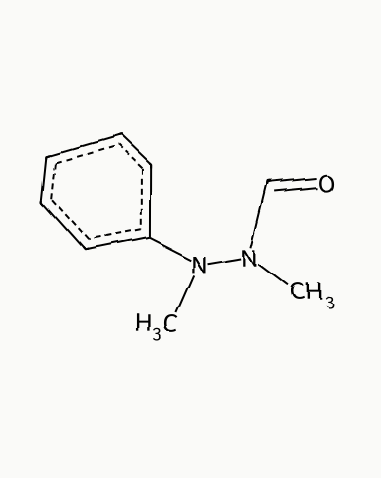 CN(C=O)N(C)c1ccccc1